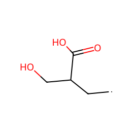 [CH2]CC(CO)C(=O)O